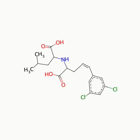 CC(C)CC(NC(C/C=C\c1cc(Cl)cc(Cl)c1)C(=O)O)C(=O)O